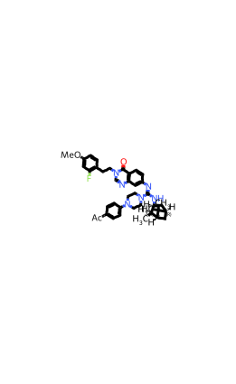 COc1ccc(CCn2cnc3cc(N=C(N[C@H]4C[C@H]5C[C@H]([C@H]4C)C5(C)C)N4CCN(c5ccc(C(C)=O)cc5)CC4)ccc3c2=O)c(F)c1